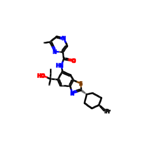 Cc1cncc(C(=O)Nc2cc3sc([C@H]4CC[C@H](C(C)C)CC4)nc3cc2C(C)(C)O)n1